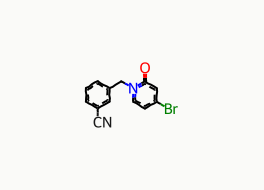 N#Cc1cccc(Cn2ccc(Br)cc2=O)c1